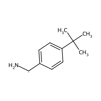 CC(C)(C)c1ccc([CH]N)cc1